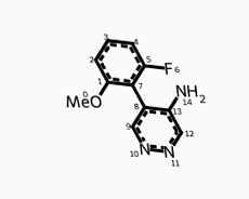 COc1cccc(F)c1-c1cnncc1N